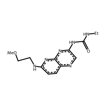 CCNC(=O)Nc1cnc2ccc(NCCOC)nc2n1